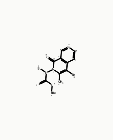 CCN(C(=O)OC(C)(C)C)n1c(C)c(Br)c2ccncc2c1=O